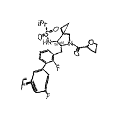 CC(C)S(=O)(=O)N[C@@H]1[C@H](Cc2cccc(-c3cc(F)cc(F)c3)c2F)N(C(=O)C2CCO2)CC12CC2